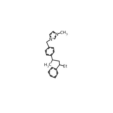 CCC(CC(C)c1ccc(C[n+]2ccn(C)c2)cc1)c1ccccc1